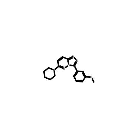 CSc1cccc(-c2nnc3ccc(N4CCCCC4)nn23)c1